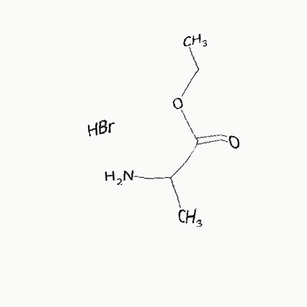 Br.CCOC(=O)C(C)N